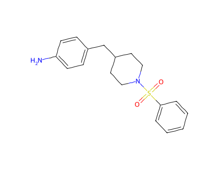 Nc1ccc(CC2CCN(S(=O)(=O)c3ccccc3)CC2)cc1